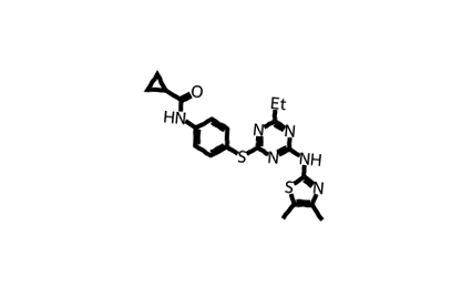 CCc1nc(Nc2nc(C)c(C)s2)nc(Sc2ccc(NC(=O)C3CC3)cc2)n1